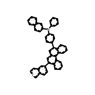 c1ccc(N(c2ccc(-c3cc4cc(-c5ccc6ccccc6c5)c5ccccc5c4c4ccccc34)cc2)c2ccc3ccccc3c2)cc1